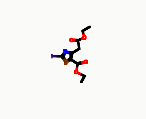 CCOC(=O)Cc1nc(I)sc1C(=O)OCC